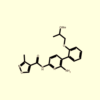 COC(C)COc1ccccc1-c1ccc(NC(=O)c2conc2C)nc1N